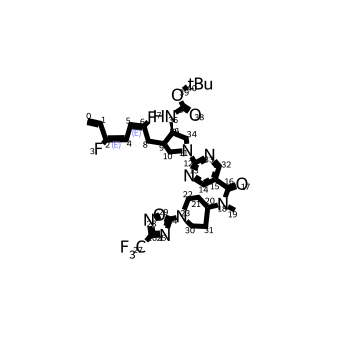 C=C/C(F)=C\C=C(\F)CC1CN(c2ncc(C(=O)N(C)C3CCN(c4nc(C(F)(F)F)no4)CC3)cn2)C[C@@H]1NC(=O)OC(C)(C)C